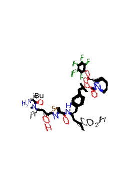 CC[C@H](C)[C@H](N)C(=O)N(C)[C@H](C[C@@H](O)c1nc(C(=O)N[C@@H](Cc2ccc(CC(C)(C)OC(=O)N3CCCC[C@@H]3C(=O)Oc3c(F)c(F)c(F)c(F)c3F)cc2)C[C@H](C)C(=O)O)cs1)C(C)C